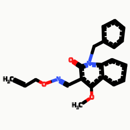 C=CCON=Cc1c(OC)c2ccccc2n(Cc2ccccc2)c1=O